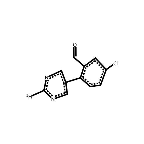 [2H]c1ncc(-c2ccc(Cl)cc2C=O)cn1